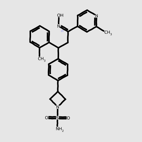 Cc1cc(/C(CC(c2ccc(C3CN(S(N)(=O)=O)C3)cc2)c2ccccc2C)=N\O)ccn1